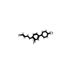 CCC1CCC(c2ccc(CC/C=C/F)c(F)c2)CC1